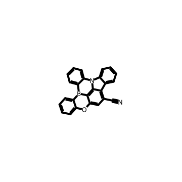 N#Cc1cc2c3c4c1c1ccccc1n4-c1ccccc1B3c1ccccc1O2